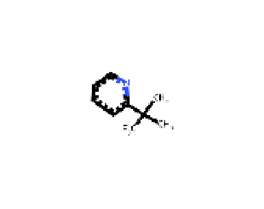 CC(C)(c1c[c]ccn1)C(F)(F)F